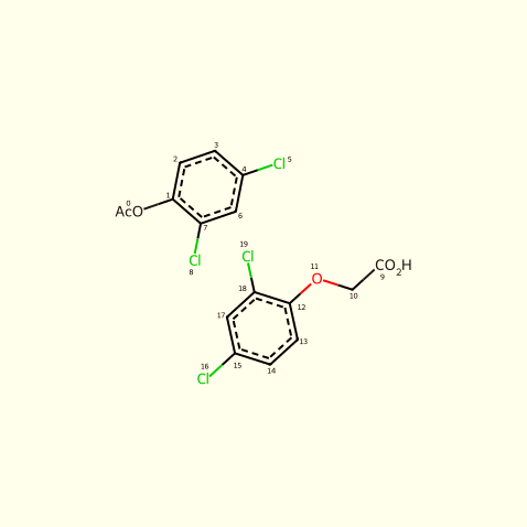 CC(=O)Oc1ccc(Cl)cc1Cl.O=C(O)COc1ccc(Cl)cc1Cl